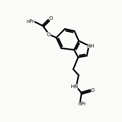 CCCC(=O)NCCc1c[nH]c2ccc(OC(=O)CCC)cc12